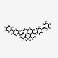 CC1(C)c2ccc(-c3ccc(-c4ccccc4)cn3)c3c2C2c4c1ccc(-c1ccc(-c5ccccc5)cn1)c4C=CC2C=C3